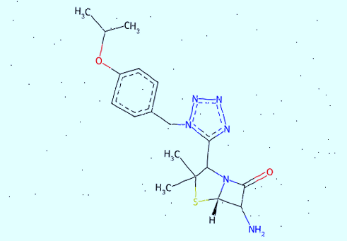 CC(C)Oc1ccc(Cn2nnnc2C2N3C(=O)C(N)[C@@H]3SC2(C)C)cc1